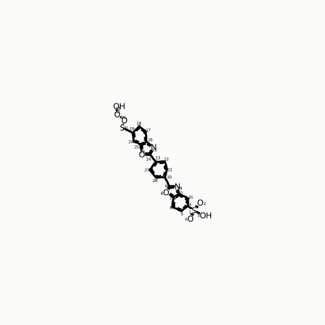 O=S(=O)(O)c1ccc2oc(-c3ccc(-c4nc5ccc(SOOO)cc5o4)cc3)nc2c1